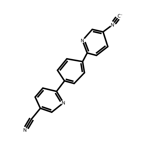 [C-]#[N+]c1ccc(-c2ccc(-c3ccc(C#N)cn3)cc2)nc1